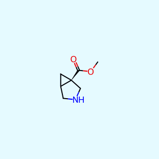 COC(=O)[C@@]12CNCC1C2